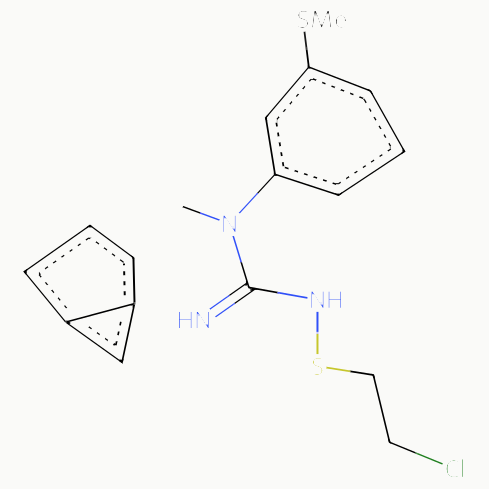 CSc1cccc(N(C)C(=N)NSCCCl)c1.c1cc2cc-2c1